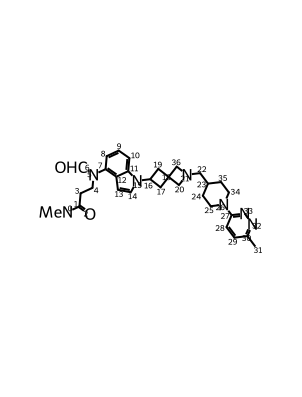 CNC(=O)CCN(C=O)c1cccc2c1ccn2C1CC2(C1)CN(CC1CCN(c3ccc(C)nn3)CC1)C2